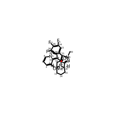 COc1cccn2ncc(C(=O)N3[C@H]4CCC[C@@H]3c3nn(C)c(-c5cc(F)c(F)c(F)c5)c3C4)c12